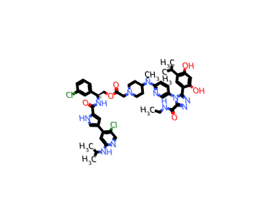 CCNC(=O)c1nnc(-c2cc(C(C)C)c(O)cc2O)n1-c1ccc(N(C)C2CCN(CC(=O)OC[C@@H](NC(=O)c3cc(-c4cc(NC(C)C)ncc4Cl)c[nH]3)c3cccc(Cl)c3)CC2)nc1